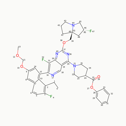 CCc1c(F)ccc2cc(OCOC)cc(-c3ncc4c(N5CCC(C(=O)Oc6ccccc6)CC5)nc(OC[C@@]56CCCN5C[C@H](F)C6)nc4c3F)c12